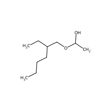 [CH2]C(O)OCC(CC)CCCC